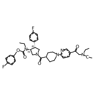 CCN(CC)CC(=O)c1ccc(N2CCC(C(=O)N3C[C@@H](N(CC)C(=O)Oc4ccc(F)cc4)[C@H](c4ccc(F)cc4)C3)CC2)nc1